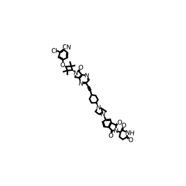 CC1(C)[C@H](Oc2ccc(C#N)c(Cl)c2)C(C)(C)[C@H]1N1Cc2nc(C#CC3CCC(N4CC5CC4CN5c4ccc5c(c4)C(=O)N(C4CCC(=O)NC4=O)C5=O)CC3)cnc2C1=O